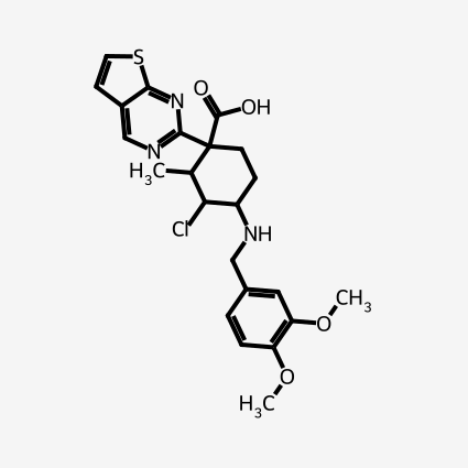 COc1ccc(CNC2CCC(C(=O)O)(c3ncc4ccsc4n3)C(C)C2Cl)cc1OC